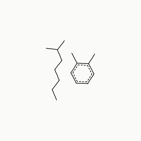 CCCCCC(C)C.Cc1ccccc1C